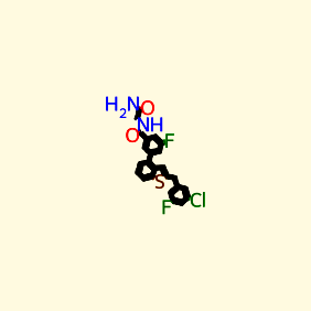 NC(=O)CNC(=O)c1cc(F)cc(-c2cccc3sc(Cc4cc(F)cc(Cl)c4)cc23)c1